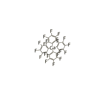 Fc1c(F)c(F)[c]([Ga-]([c]2c(F)c(F)c(F)c(F)c2F)([c]2c(F)c(F)c(F)c(F)c2F)[c]2c(F)c(F)c(F)c(F)c2F)c(F)c1F